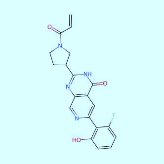 C=CC(=O)N1CCC(c2nc3cnc(-c4c(O)cccc4F)cc3c(=O)[nH]2)C1